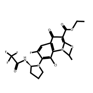 CCOC(=O)c1c2n(c3c(Cl)c(N4CCC[C@H]4NC(=O)C(F)(F)F)c(F)cc3c1=O)C(C)S2